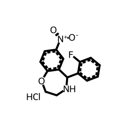 Cl.O=[N+]([O-])c1ccc2c(c1)C(c1ccccc1F)NCCO2